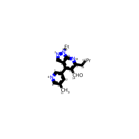 CCn1ncc2c(-c3cncc(C)c3)c(C=O)c(CC(C)C)nc21